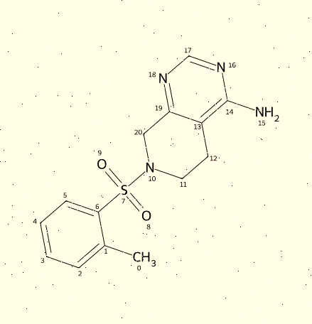 Cc1ccccc1S(=O)(=O)N1CCc2c(N)ncnc2C1